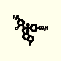 Cn1ccc2cc(CN(c3ncc(C(F)(F)F)cc3Cl)S(=O)(=O)c3ccc(C(=O)O)cc3)ccc21